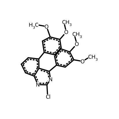 COc1ccc(-c2cccc3nc(Cl)nc(-c4ccc(OC)c(OC)c4)c23)cc1OC